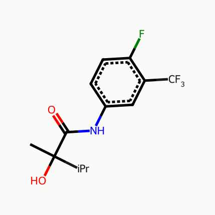 CC(C)C(C)(O)C(=O)Nc1ccc(F)c(C(F)(F)F)c1